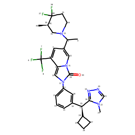 CC(c1cc(C(F)(F)F)c2cn(-c3cccc([C@@H](c4nncn4C)C4CCC4)c3)c(=O)n2c1)N1CCC(F)(F)[C@H](C)C1